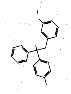 COc1cccc(CC(O)(c2ccccc2)c2ccc(Cl)cc2)c1